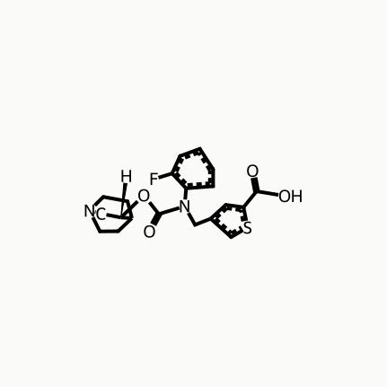 O=C(O)c1cc(CN(C(=O)O[C@H]2CN3CCC2CC3)c2ccccc2F)cs1